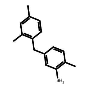 Bc1cc(Cc2ccc(C)cc2C)ccc1C